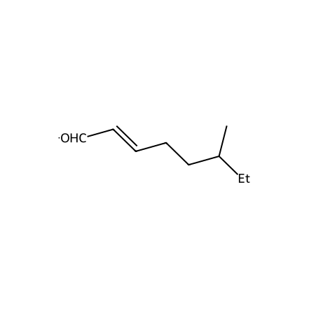 CCC(C)CCC=C[C]=O